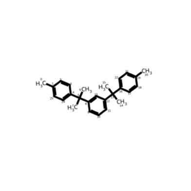 Cc1ccc(C(C)(C)c2cccc(C(C)(C)c3ccc(C)cc3)c2)cc1